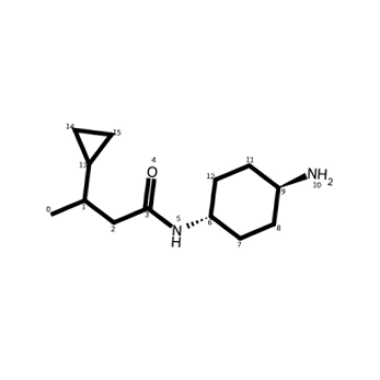 CC(CC(=O)N[C@H]1CC[C@H](N)CC1)C1CC1